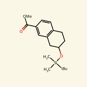 COC(=O)c1ccc2c(c1)CC(O[Si](C)(C)C(C)(C)C)CC2